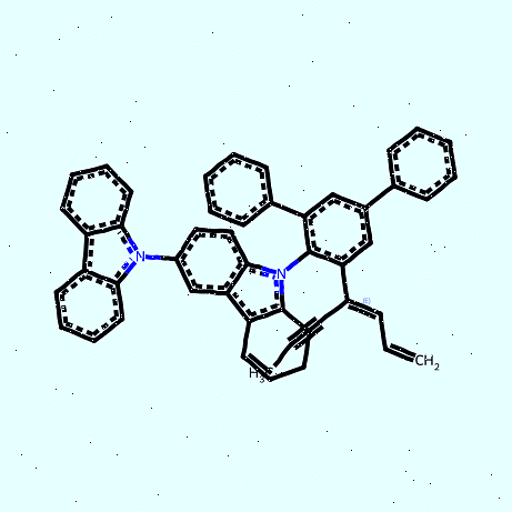 C=C/C=C(\C#CC)c1cc(-c2ccccc2)cc(-c2ccccc2)c1-n1c2c(c3cc(-n4c5ccccc5c5ccccc54)ccc31)C=CCC2